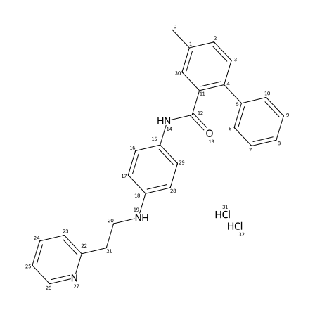 Cc1ccc(-c2ccccc2)c(C(=O)Nc2ccc(NCCc3ccccn3)cc2)c1.Cl.Cl